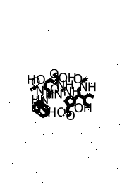 CCC(CC)C(CNC(C)=O)C1C(NC(=N)NC2(C(=O)O)CC(O)C(NC(C)=O)C(CNC34CC5CC(CC(C5)C3)C4)O2)CC(C(=O)O)C1O